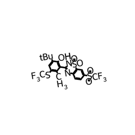 Cc1c(SC(F)(F)F)cc(C(C)(C)C)c(O)c1C1=Nc2ccc(S(=O)(=O)C(F)(F)F)cc2S(=O)(=O)N1